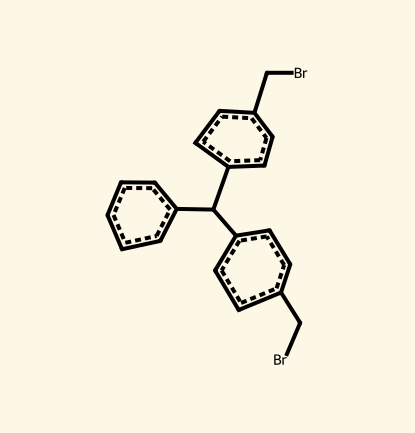 BrCc1ccc(C(c2ccccc2)c2ccc(CBr)cc2)cc1